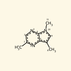 Cc1cnc2c(n1)c(C)cn2C